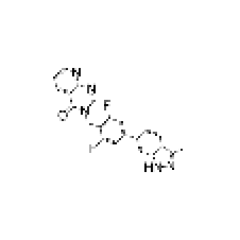 CC1=NNC2C=C(c3cc(F)c(Cn4cnc5ncccc5c4=O)c(F)c3)C=CC12